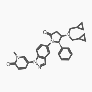 Cn1cc(-n2ncc3cc(N4C(=O)CC(N(CC5CC5)CC5CC5)[C@H]4c4ccccc4)ccc32)ccc1=O